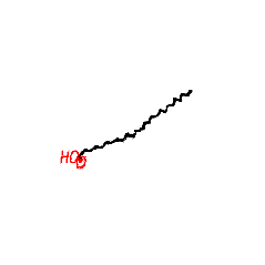 CCCCCCCCCCCCC=CCC=CCCCCCCCCC(=O)O